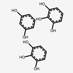 Oc1cccc(O)c1.Oc1cccc(O)c1O.Oc1cccc(O)c1O